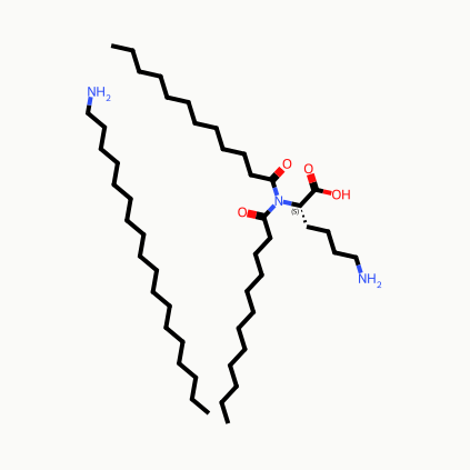 CCCCCCCCCCCC(=O)N(C(=O)CCCCCCCCCCC)[C@@H](CCCCN)C(=O)O.CCCCCCCCCCCCCCCCCCN